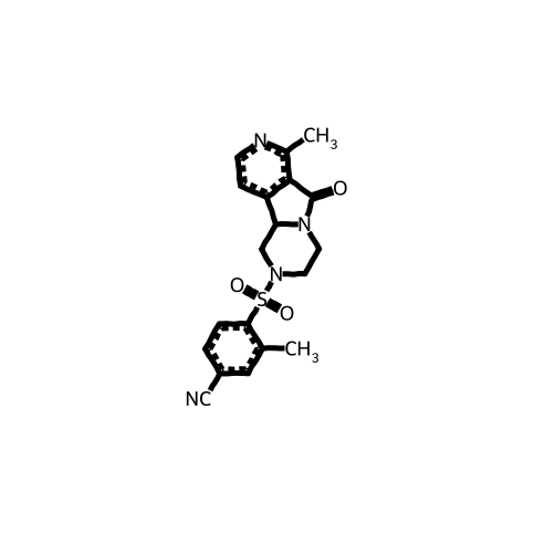 Cc1cc(C#N)ccc1S(=O)(=O)N1CCN2C(=O)c3c(ccnc3C)C2C1